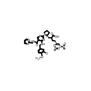 COc1ccc(CNc2nc(N3CCC[C@H]3CC(CC[C@@H](CO[N+](=O)[O-])O[N+](=O)[O-])C(=O)O)ncc2C(=O)NCc2ncccn2)cc1Cl